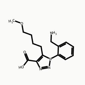 COCCCCc1c(C(=O)O)nnn1-c1ccccc1CN